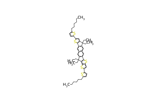 CCCCCCc1ccc(-c2cc3c(s2)-c2cc4cc5c(cc4cc2C3(CC)CC)-c2sc3cc(-c4ccc(CCCCCC)s4)sc3c2C5(CC)CC)s1